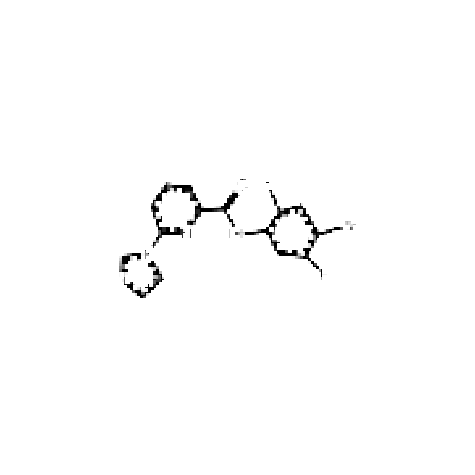 O=C(Nc1cc(F)c(Br)cc1F)c1cccc(-n2ccnc2)n1